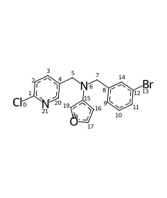 Clc1ccc(CN(Cc2cccc(Br)c2)c2ccoc2)cn1